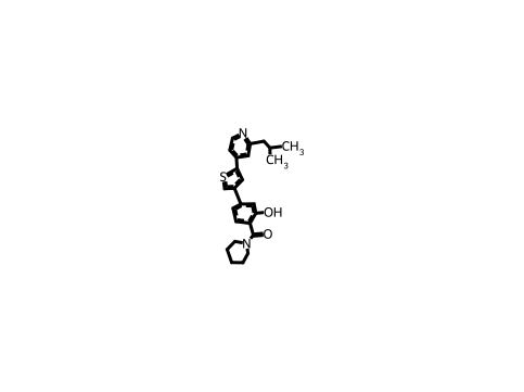 CC(C)Cc1cc(-c2cc(-c3ccc(C(=O)N4CCCCC4)c(O)c3)cs2)ccn1